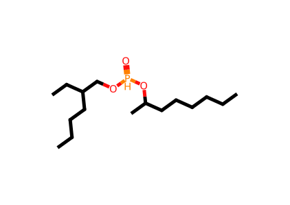 CCCCCCC(C)O[PH](=O)OCC(CC)CCCC